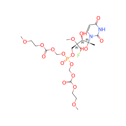 COCCOC(=O)OCOP(=O)(OCOC(=O)OCCOC)OC[C@@](CF)(OC)[C@@H](O)[C@@](C)(O)n1ccc(=O)[nH]c1=O